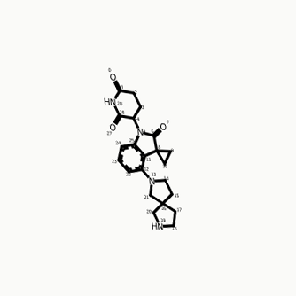 O=C1CCC(N2C(=O)C3(CC3)c3c(N4CCC5(CCNC5)C4)cccc32)C(=O)N1